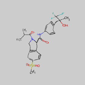 CC(C)C(=O)N1Cc2cc(S(C)(=O)=O)ccc2C1C(=O)Nc1ccc(C(C)(O)C(F)(F)F)cc1